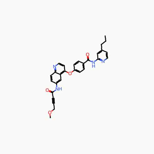 CCCc1ccnc(NC(=O)c2ccc(Oc3ccnc4ccc(NC(=O)C#CCOC)cc34)cc2)c1